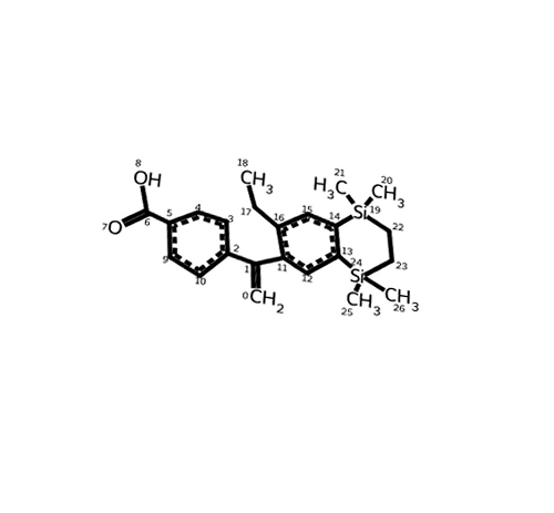 C=C(c1ccc(C(=O)O)cc1)c1cc2c(cc1CC)[Si](C)(C)CC[Si]2(C)C